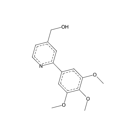 COc1cc(-c2cc(CO)ccn2)cc(OC)c1OC